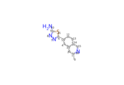 Cc1cc2cc(-c3nnc(N)s3)ccc2cn1